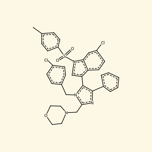 Cc1ccc(S(=O)(=O)n2cc(-c3c(-c4ccccc4)nc(CN4CCOCC4)n3Cc3ccc(Cl)cc3)c3ccc(Cl)cc32)cc1